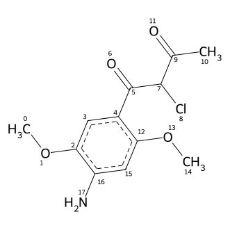 COc1cc(C(=O)C(Cl)C(C)=O)c(OC)cc1N